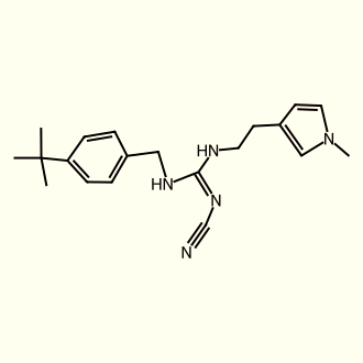 Cn1ccc(CCN/C(=N/C#N)NCc2ccc(C(C)(C)C)cc2)c1